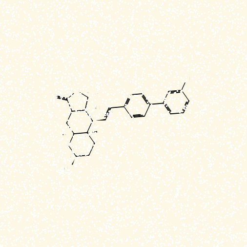 C[C@H]1OC(=O)C2C[C@@H]3C[C@H](C=O)CC[C@H]3[C@H](/C=C/c3ccc(-c4cccc(C(F)(F)F)c4)cn3)[C@@H]21